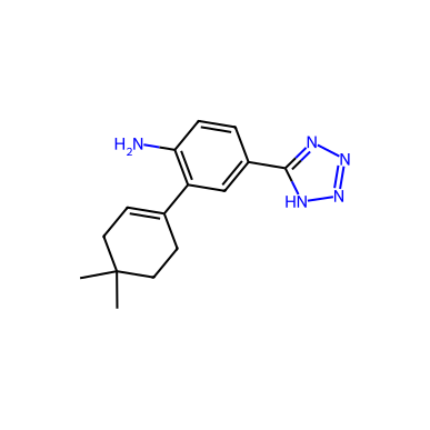 CC1(C)CC=C(c2cc(-c3nnn[nH]3)ccc2N)CC1